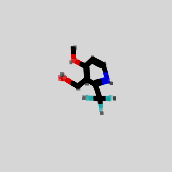 COc1ccnc(C(F)(F)F)c1CO